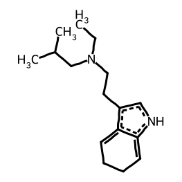 CCN(CCc1c[nH]c2c1=CCCC=2)CC(C)C